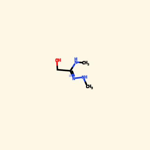 CN/N=C(/CO)NC